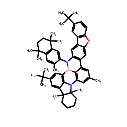 Cc1cc2c3c(c1)N1c4c(cc(C(C)(C)C)cc4C4(C)CCCCC14C)B3N(c1cc3c(cc1C)C(C)(C)CCC3(C)C)c1cc3c(cc1-2)oc1ccc(C(C)(C)C)cc13